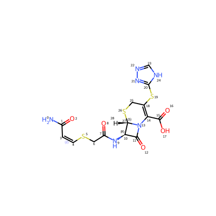 NC(=O)/C=C\SCC(=O)N[C@@H]1C(=O)N2C(C(=O)O)=C(Sc3nnc[nH]3)CS[C@@H]12